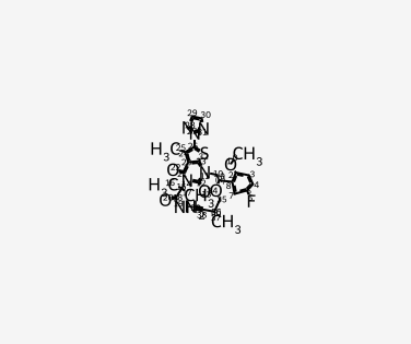 COc1ccc(F)cc1[C@H](Cn1c(=O)n(C(C)(C)C(N)=O)c(=O)c2c(C)c(-n3nccn3)sc21)OC[C@H](C)C#N